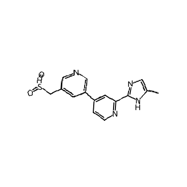 Cc1cnc(-c2cc(-c3cncc(C[SH](=O)=O)c3)ccn2)[nH]1